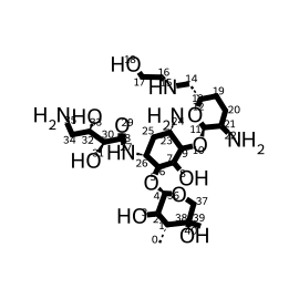 C[C@@H]1C(O)[C@@H](OC2C(O)C(O[C@H]3O[C@H](CNCCO)CCC3N)[C@@H](N)C[C@H]2NC(=O)[C@@H](O)[C@@H](O)CN)OCC1(C)O